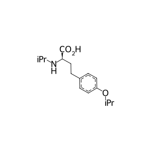 CC(C)N[C@H](CCc1ccc(OC(C)C)cc1)C(=O)O